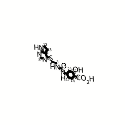 O=C(NCCSc1ncnc2[nH]ccc12)Nc1ccc(C(=O)O)c(O)c1